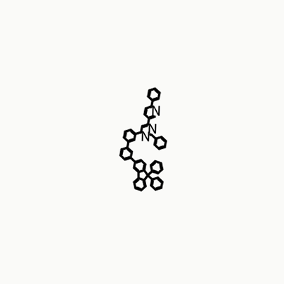 c1ccc(-c2ccc(-c3cc(-c4cccc(-c5cccc(-c6ccc7c(c6)-c6ccccc6C7(c6ccccc6)c6ccccc6)c5)c4)nc(-c4ccccc4)n3)cn2)cc1